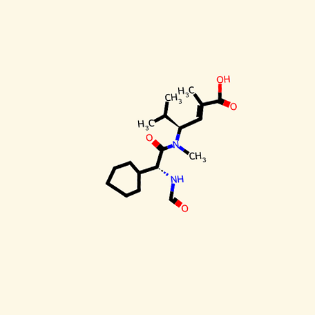 C/C(=C\[C@H](C(C)C)N(C)C(=O)[C@H](NC=O)C1CCCCC1)C(=O)O